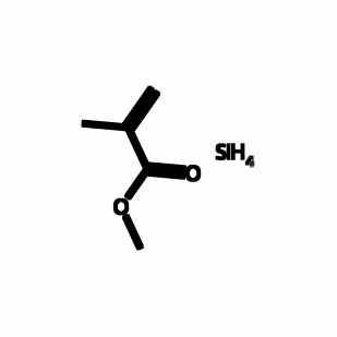 C=C(C)C(=O)OC.[SiH4]